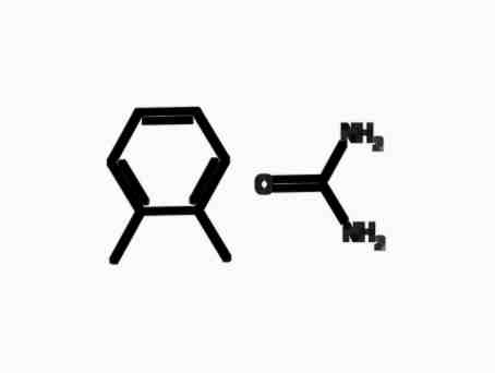 Cc1ccccc1C.NC(N)=O